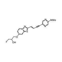 CNc1cnc(C#CC=Cc2nc3ccc(OCC(O)CF)cc3s2)cn1